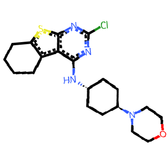 Clc1nc(N[C@H]2CC[C@H](N3CCOCC3)CC2)c2c3c(sc2n1)CCCC3